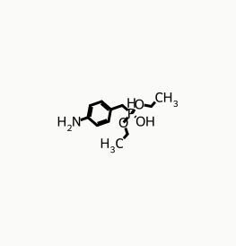 CCO[PH](O)(Cc1ccc(N)cc1)OCC